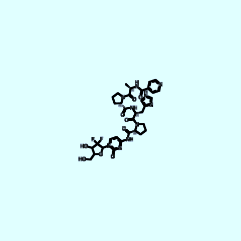 C[C@@H](NC(=O)c1ccncc1)C(=O)N1CCC[C@H]1C(=O)N[C@@H](Cc1c[nH]cn1)C(=O)N1CCC[C@H]1C(=O)Nc1ccn(C2OC(CO)C(O)C2(F)F)c(=O)n1